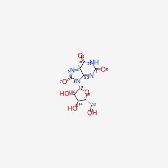 O=C1N=C2C(=NC(=O)N2[C@@H]2O[C@H](CO)[C@@H](O)[C@H]2O)C(=O)N1